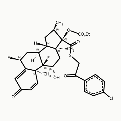 CCOC(=O)O[C@]1(C(=O)SCC(=O)c2ccc(Cl)cc2)[C@H](C)C[C@H]2[C@@H]3C[C@H](F)C4=CC(=O)C=C[C@]4(C)[C@@]3(F)[C@@H](O)C[C@@]21C